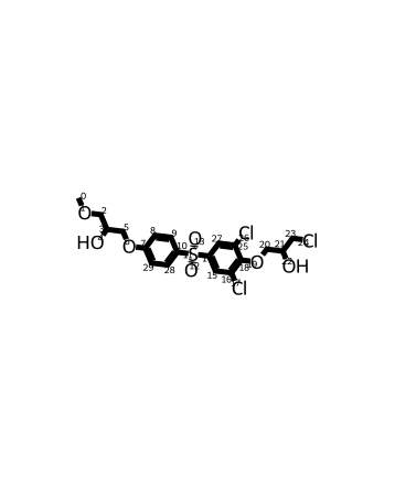 COCC(O)COc1ccc(S(=O)(=O)c2cc(Cl)c(OCC(O)CCl)c(Cl)c2)cc1